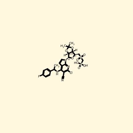 CC(Nc1c(C#N)c(Cl)nc2c1ccn2[C@@H]1O[C@H](CS(=O)(=O)CP(=O)(O)O)[C@H]2OC(C)(C)O[C@H]21)c1ccc(F)cc1